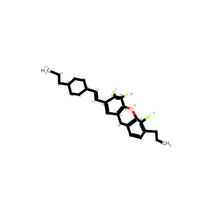 CCCc1ccc2c(c1F)Oc1c(cc(/C=C/C3CCC(CCC)CC3)c(F)c1F)C2